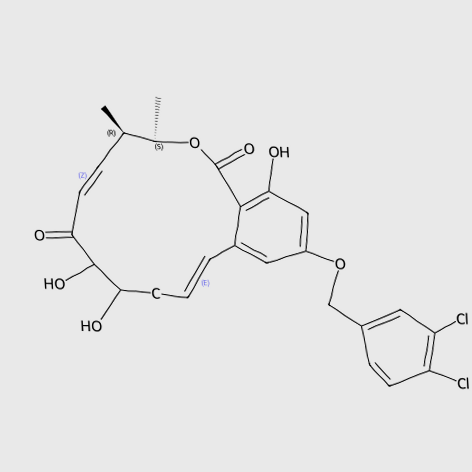 C[C@@H]1/C=C\C(=O)C(O)C(O)C/C=C/c2cc(OCc3ccc(Cl)c(Cl)c3)cc(O)c2C(=O)O[C@H]1C